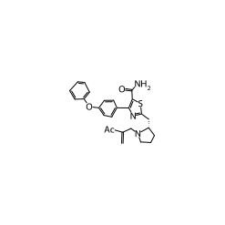 C=C(CN1CCC[C@H]1Cc1nc(-c2ccc(Oc3ccccc3)cc2)c(C(N)=O)s1)C(C)=O